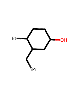 CCC1CCC(O)CC1CC(C)C